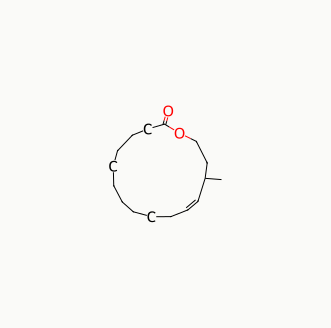 CC1C=CCCCCCCCCCC(=O)OCC1